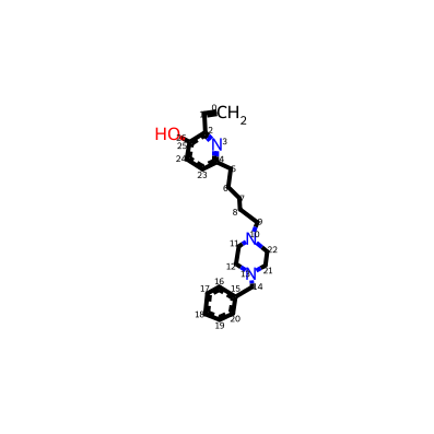 C=Cc1nc(CCCCCN2CCN(Cc3ccccc3)CC2)ccc1O